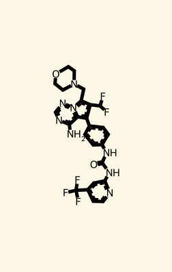 Nc1ncnn2c(CN3CCOCC3)c(C(F)F)c(-c3ccc(NC(=O)Nc4cc(C(F)(F)F)ccn4)cc3)c12